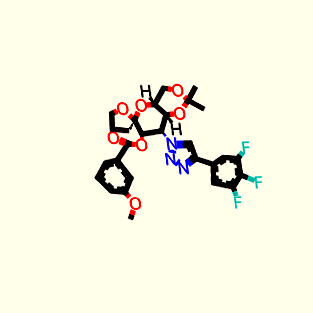 COc1cccc(C(=O)O[C@@H]2[C@@H](n3cc(-c4cc(F)c(F)c(F)c4)nn3)[C@H]3OC(C)(C)OC[C@H]3O[C@@]23CCCO3)c1